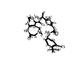 CC(NC(=O)c1ncnc2c1CN(C)CC(=O)N2)c1ncc(C(=O)Nc2ccc(C(F)(F)F)c(Cl)c2)s1